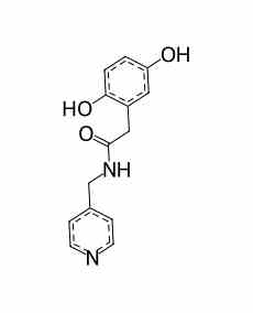 O=C(Cc1cc(O)ccc1O)NCc1ccncc1